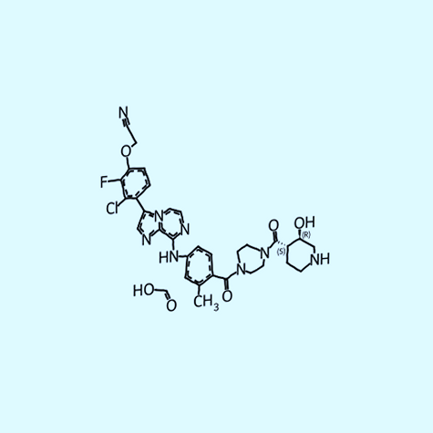 Cc1cc(Nc2nccn3c(-c4ccc(OCC#N)c(F)c4Cl)cnc23)ccc1C(=O)N1CCN(C(=O)[C@H]2CCNC[C@@H]2O)CC1.O=CO